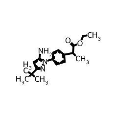 CCOC(=O)C(C)c1ccc(-n2nc(C(C)(C)C)cc2N)cc1